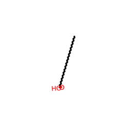 CCCCCCCCCCCCCCCCCCCCCCCCCCCCCCCCCC(=O)O